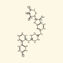 O=C1CCC(N2Cc3cc(CN4CCN(Cc5ccccc5-c5ccc(Cl)cc5)CC4)ccc3C2=S)C(=O)N1